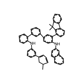 CC1C=CC=C(c2cccc(Nc3ccccc3-c3cccc(-c4ccc(Nc5ccc6ccccc6c5)c(-c5cccc6c5C(C)(C)c5ccccc5-6)c4)c3)c2)C1